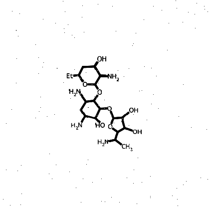 CCC1CC(O)C(N)C(OC2C(N)CC(N)C(O)C2OC2OC(C(C)N)C(O)C2O)O1